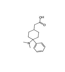 CN(C)C1(c2ccccc2)CCC(CC(=O)O)CC1